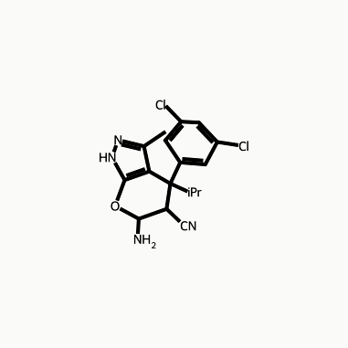 Cc1n[nH]c2c1C(c1cc(Cl)cc(Cl)c1)(C(C)C)C(C#N)C(N)O2